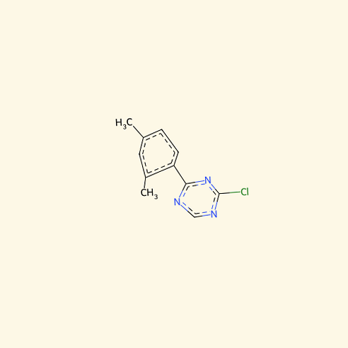 Cc1ccc(-c2ncnc(Cl)n2)c(C)c1